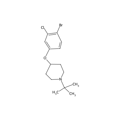 CC(C)(C)N1CCC(Oc2ccc(Br)c(Cl)c2)CC1